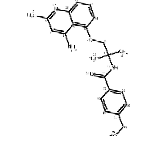 Cc1cc(N)c2c(OCC(C)(C)NC(=O)c3ccc(CO)cc3)cccc2n1